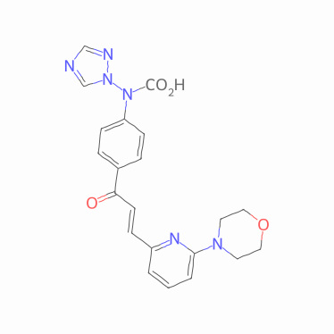 O=C(C=Cc1cccc(N2CCOCC2)n1)c1ccc(N(C(=O)O)n2cncn2)cc1